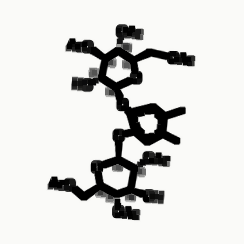 CC(=O)OC[C@H]1O[C@@H](Oc2cc(C)c(C)cc2O[C@@H]2O[C@H](COC(C)=O)[C@@H](OC(C)=O)[C@H](OC(C)=O)[C@H]2O)[C@H](OC(C)=O)[C@@H](O)[C@@H]1OC(C)=O